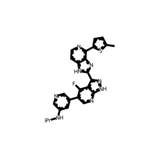 Cc1ccc(-c2nccc3[nH]c(-c4n[nH]c5ncc(-c6cncc(NC(C)C)c6)c(F)c45)nc23)s1